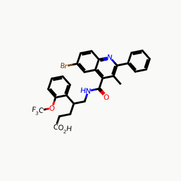 Cc1c(-c2ccccc2)nc2ccc(Br)cc2c1C(=O)NCC(CCC(=O)O)c1ccccc1OC(F)(F)F